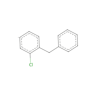 Clc1c[c]ccc1Cc1ccccc1